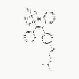 [2H]C([2H])([2H])C([2H])([2H])/C(=C(\c1ccccc1)c1ccc(OCCN(C)C)cc1)c1ccccc1